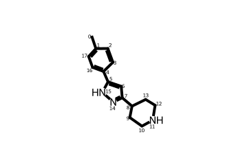 Cc1ccc(-c2cc(C3CCNCC3)n[nH]2)cc1